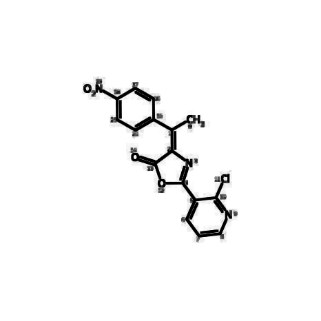 CC(=C1N=C(c2cccnc2Cl)OC1=O)c1ccc([N+](=O)[O-])cc1